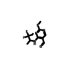 CSc1ncc(C=O)c(NC(C)C(F)(F)F)n1